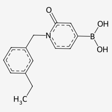 CCc1cccc(Cn2ccc(B(O)O)cc2=O)c1